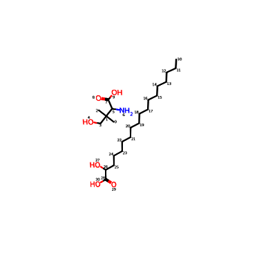 CC(C)(CO)C(N)C(=O)O.CCCCCCCCCCCCCCCCC(O)C(=O)O